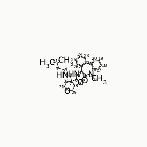 CC(C)CCNCC1(C(=O)NC2C(=O)N(C)c3ccccc3-c3ccccc32)CCOCC1